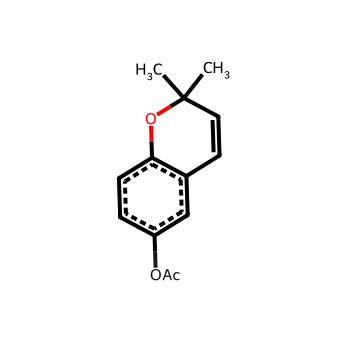 CC(=O)Oc1ccc2c(c1)C=CC(C)(C)O2